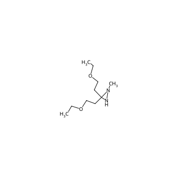 CCOCCC1(CCOCC)NN1C